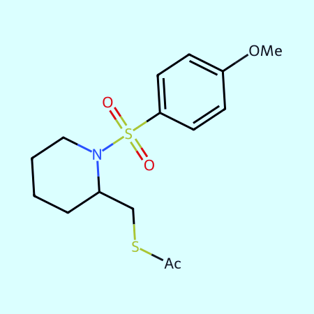 COc1ccc(S(=O)(=O)N2CCCCC2CSC(C)=O)cc1